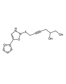 OCC(O)CC#CCSN1NC=C(c2ccco2)O1